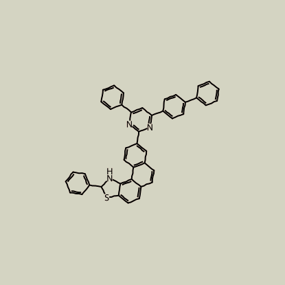 c1ccc(-c2ccc(-c3cc(-c4ccccc4)nc(-c4ccc5c(ccc6ccc7c(c65)NC(c5ccccc5)S7)c4)n3)cc2)cc1